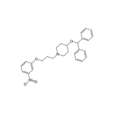 O=[N+]([O-])c1cccc(OCCCN2CCC(OC(c3ccccc3)c3ccccc3)CC2)c1